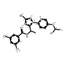 CC(NC(=O)c1cc(Cl)cc(C(F)(F)F)c1)c1nc(Br)nn1-c1ccc(OC(F)F)cn1